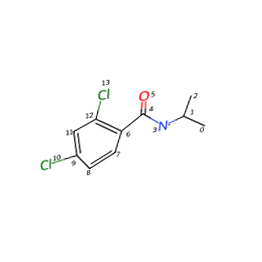 CC(C)[N]C(=O)c1ccc(Cl)cc1Cl